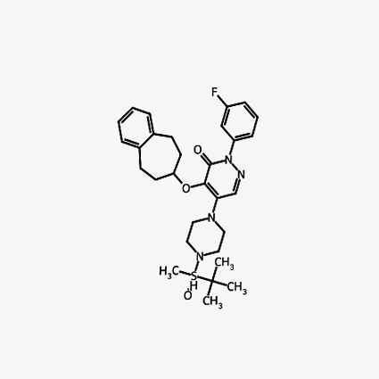 CC(C)(C)[SH](C)(=O)N1CCN(c2cnn(-c3cccc(F)c3)c(=O)c2OC2CCc3ccccc3CC2)CC1